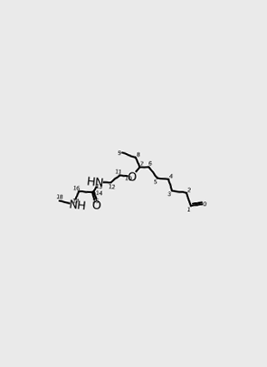 C=CCCCCCC(CC)OCCNC(=O)CNC